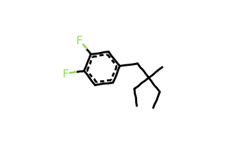 CCC(C)(CC)Cc1ccc(F)c(F)c1